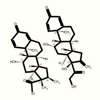 C=C1C[C@H]2[C@@H]3CCC4=CC(=O)C=C[C@]4(C)[C@H]3[C@@H](O)C[C@]2(C)[C@@]1(O)C(=O)CO.CCC(=O)[C@@]1(C)[C@H](C)C[C@H]2[C@@H]3CCC4=CC(=O)C=C[C@]4(C)[C@H]3[C@@H](O)C[C@@]21C